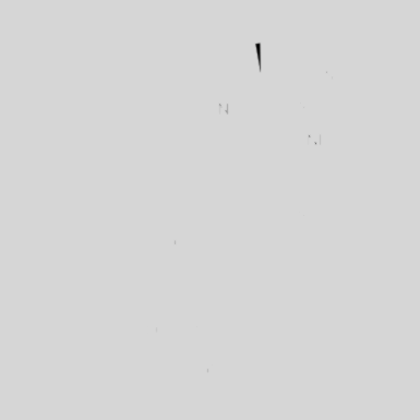 CCOC(=O)C1Cc2sc3c(c2C1)C(c1c(F)cccc1Cl)=N[C@@H](C)C(=S)N3